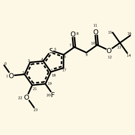 COc1cc2sc(C(=O)CC(=O)OC(C)(C)C)cc2c(F)c1OC